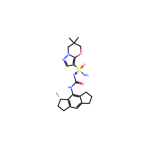 C[C@H]1CCc2cc3c(c(NC(=O)N=S(N)(=O)c4cnn5c4OCC(C)(C)C5)c21)CCC3